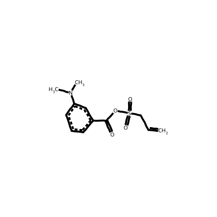 C=CCS(=O)(=O)OC(=O)c1cccc(N(C)C)c1